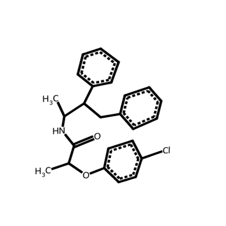 CC(Oc1ccc(Cl)cc1)C(=O)NC(C)C(Cc1ccccc1)c1ccccc1